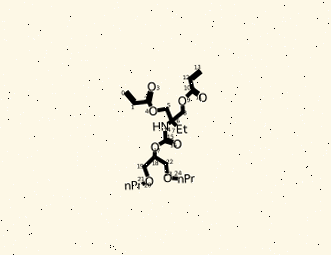 C=CC(=O)OCC(CC)(COC(=O)C=C)NC(=O)OC(COCCC)COCCC